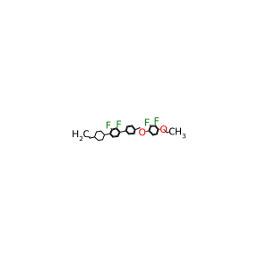 C=CC1CCC(c2ccc(-c3ccc(COc4ccc(OCC)c(F)c4F)cc3)c(F)c2F)CC1